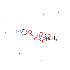 CO[C@@H]1CO[C@H]2[C@H]1OC[C@H]2OCCOC1CCNCC1